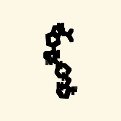 CC(C)n1ncc2ccc(-c3nc(N4CCN(Cc5ncccc5F)CC4)no3)cc21